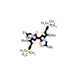 CCCCC(CC)CN1C(=O)/C(=C2/C(=O)N(CC(CC)CCCC)c3c2sc(C#CS(C)(C)C)c3SC)c2sc(C#CS(C)(C)C)c(SC)c21